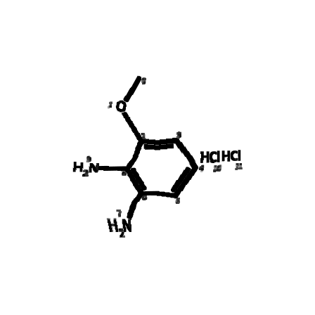 COc1cccc(N)c1N.Cl.Cl